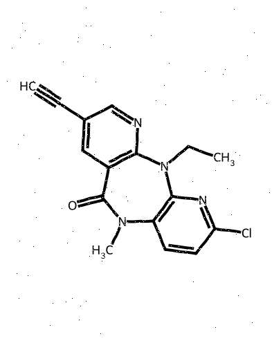 C#Cc1cnc2c(c1)C(=O)N(C)c1ccc(Cl)nc1N2CC